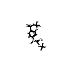 CN(C(=O)OC(C)(C)C)c1ccc2c(c1)OC(C)(C)CC2=O